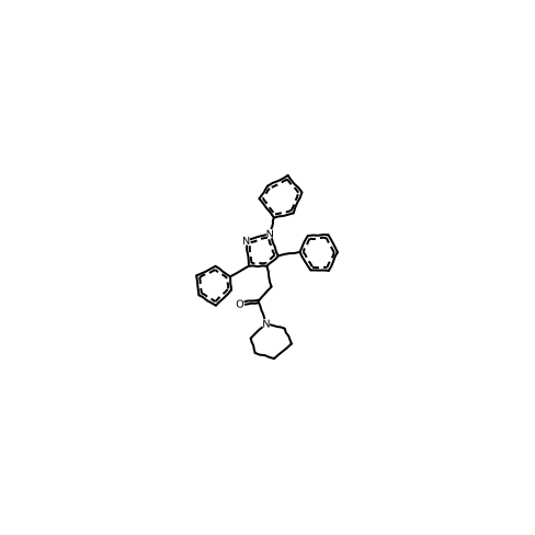 O=C(Cc1c(-c2ccccc2)nn(-c2ccccc2)c1-c1ccccc1)N1CCCCC1